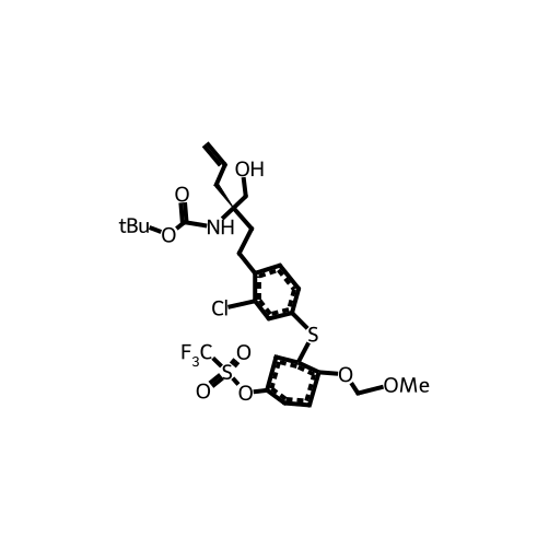 C=CC[C@@](CO)(CCc1ccc(Sc2cc(OS(=O)(=O)C(F)(F)F)ccc2OCOC)cc1Cl)NC(=O)OC(C)(C)C